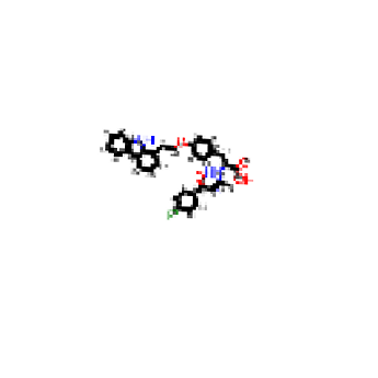 C/C(=C/C(=O)c1ccc(F)cc1)NC(Cc1ccc(OCCc2cccc3c2[nH]c2ccccc23)cc1)C(=O)O